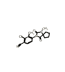 Cc1c(N2C(=O)N(C)C3(CCCC3)C2=O)ccc(C#N)c1Cl